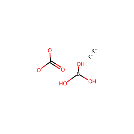 O=C([O-])[O-].OB(O)O.[K+].[K+]